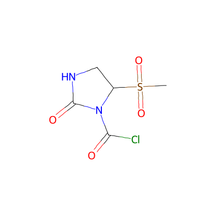 CS(=O)(=O)C1CNC(=O)N1C(=O)Cl